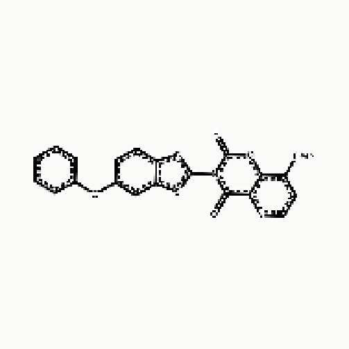 COc1ccnc2c(=O)n(-c3nc4ccc(Oc5ccccc5)cc4s3)c(=S)oc12